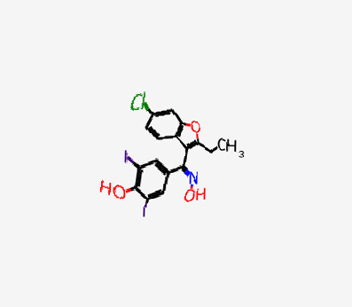 CCc1oc2cc(Cl)ccc2c1/C(=N/O)c1cc(I)c(O)c(I)c1